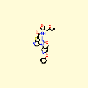 C=CC(=O)C[C@H]1COC[C@H]1NC(=O)c1sc2nccc3c2c1NC(=O)N3c1cnc(Oc2ccccc2)cc1C